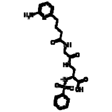 Nc1cccc(CCCC(=O)NCC(=O)NCC(NS(=O)(=O)c2ccccc2)C(=O)O)n1